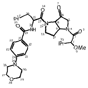 COC(C(=O)N1CC(=O)C2C1CCN2C(=O)C(CC(C)C)NC(=O)c1ccc(N2CCOCC2)cc1)C(C)C